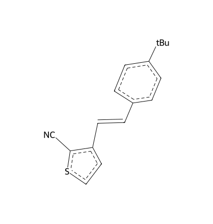 CC(C)(C)c1ccc(C=Cc2ccsc2C#N)cc1